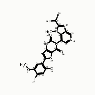 COc1cc(-c2cc3[nH]c(=O)n(-c4cncc5nc(C(F)F)n(C)c45)c(=O)c3s2)c(Cl)cc1F